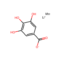 O=C([O-])c1cc(O)c(O)c(O)c1.[Li+].[Mn]